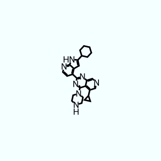 c1cc(-c2nc(N3CCNCC3)c3c(C4CC4)cncc3n2)c2cc(C3CCCCC3)[nH]c2n1